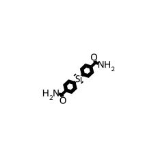 C[Si](C)(c1ccc(C(N)=O)cc1)c1ccc(C(N)=O)cc1